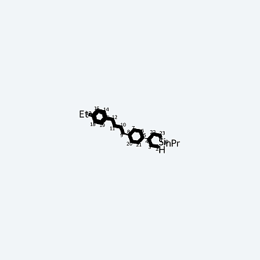 CCC[SiH]1CCC([C@H]2CC[C@H](CCCCc3ccc(CC)cc3)CC2)CC1